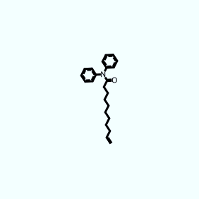 C=CCCCCCCCCC(=O)N(c1ccccc1)c1ccccc1